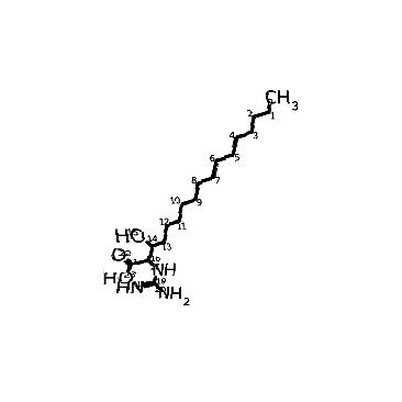 CCCCCCCCCCCCCCC(O)C(NC(=N)N)C(=O)O